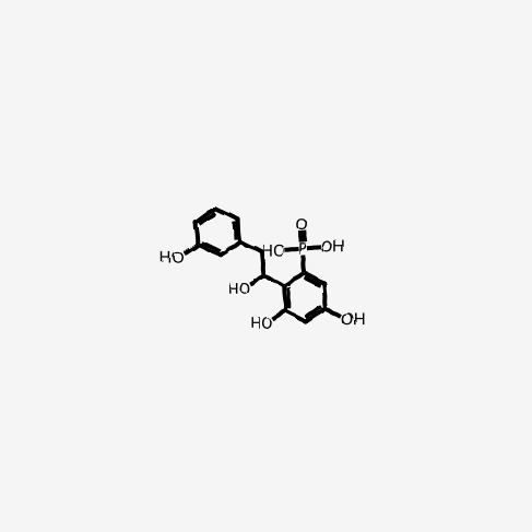 O=P(O)(O)c1cc(O)cc(O)c1C(O)Cc1cccc(O)c1